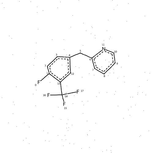 Fc1ccc(Cc2ccccn2)cc1C(F)(F)F